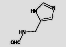 O=CNCc1cnc[nH]1